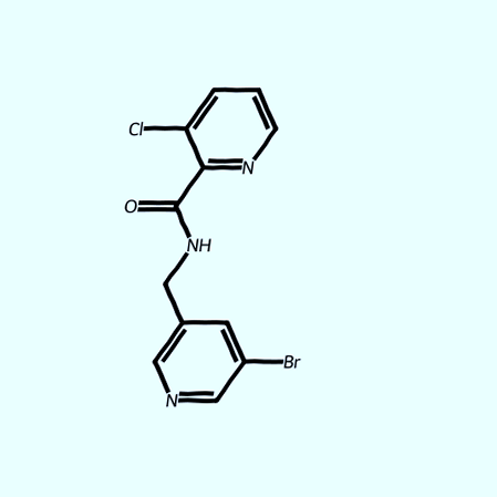 O=C(NCc1cncc(Br)c1)c1ncccc1Cl